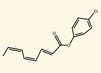 C\C=C/C=C\C=C\C(=O)Oc1ccc(CC)cc1